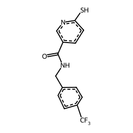 O=C(NCc1ccc(C(F)(F)F)cc1)c1ccc(S)nc1